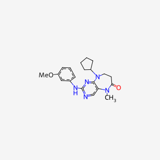 COc1cccc(Nc2ncc3c(n2)N(C2CCCC2)CCC(=O)N3C)c1